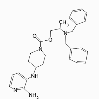 CC(COC(=O)N1CCC(Nc2cccnc2N)CC1)N(Cc1ccccc1)Cc1ccccc1